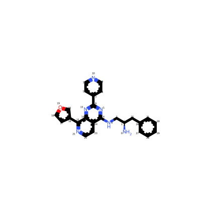 N[C@@H](CNc1nc(-c2ccncc2)nc2c(-c3ccoc3)nccc12)Cc1ccccc1